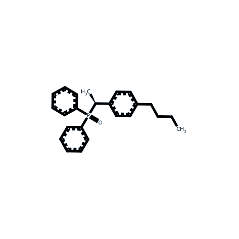 CCCCc1ccc([C@H](C)P(=O)(c2ccccc2)c2ccccc2)cc1